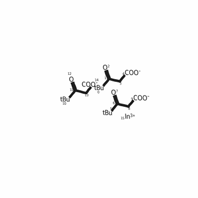 CC(C)(C)C(=O)CC(=O)[O-].CC(C)(C)C(=O)CC(=O)[O-].CC(C)(C)C(=O)CC(=O)[O-].[In+3]